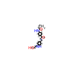 C=CC(=O)Nc1ccc(C(=O)/C=C/c2ccc(NCCO)cc2)cc1